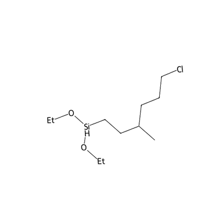 CCO[SiH](CCC(C)CCCCl)OCC